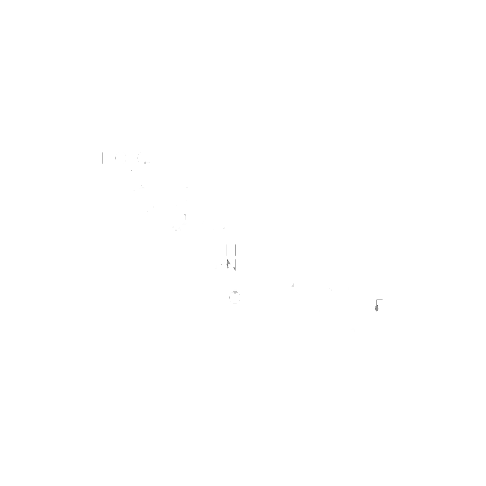 O=C(CCCCc1ccc(F)cc1)NCc1ccc(-c2ccc(C(=O)O)cc2)cc1